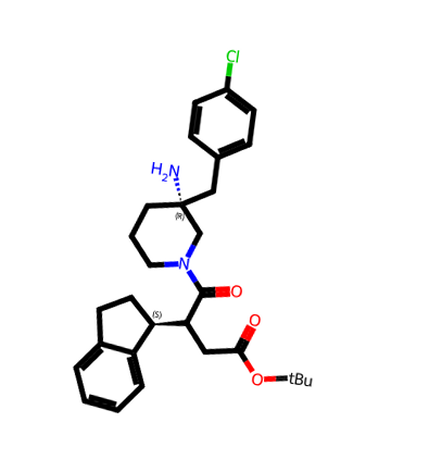 CC(C)(C)OC(=O)CC(C(=O)N1CCC[C@@](N)(Cc2ccc(Cl)cc2)C1)[C@@H]1CCc2ccccc21